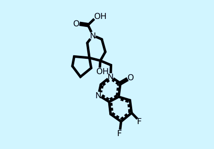 O=C(O)N1CCC(O)(Cn2cnc3cc(F)c(F)cc3c2=O)C2(CCCC2)C1